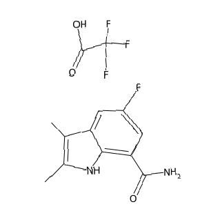 Cc1[nH]c2c(C(N)=O)cc(F)cc2c1C.O=C(O)C(F)(F)F